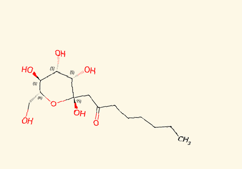 CCCCCCC(=O)C[C@]1(O)O[C@H](CO)[C@@H](O)[C@H](O)[C@@H]1O